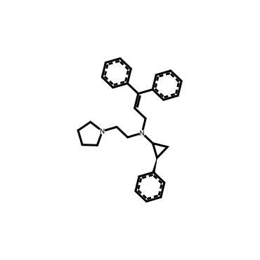 C(CN(CCN1CCCC1)C1C[C@H]1c1ccccc1)=C(c1ccccc1)c1ccccc1